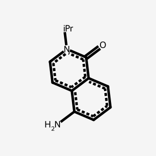 CC(C)n1ccc2c(N)cccc2c1=O